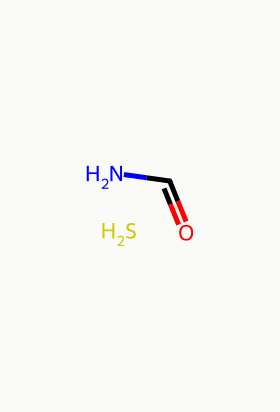 NC=O.S